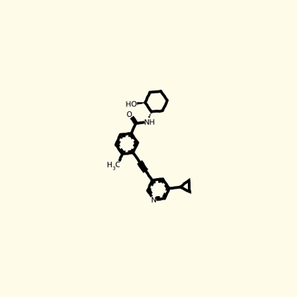 Cc1ccc(C(=O)N[C@H]2CCCC[C@@H]2O)cc1C#Cc1cncc(C2CC2)c1